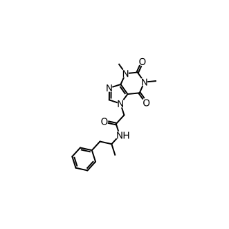 CC(Cc1ccccc1)NC(=O)Cn1cnc2c1c(=O)n(C)c(=O)n2C